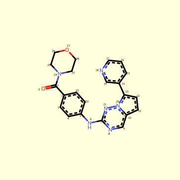 O=C(c1ccc(Nc2ncc3ccc(-c4cccnc4)n3n2)cc1)N1CCOCC1